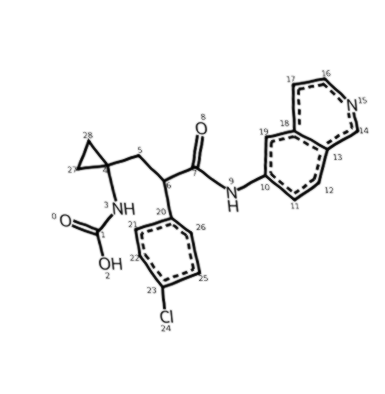 O=C(O)NC1(CC(C(=O)Nc2ccc3cnccc3c2)c2ccc(Cl)cc2)CC1